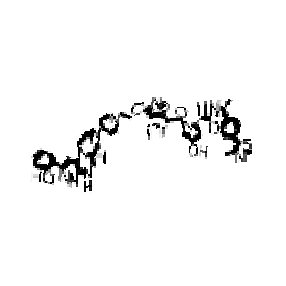 Cc1ncsc1-c1ccc([C@H](C)NC(=O)C[C@@H]2C[C@@H](O)CN2C(=O)[C@@H](c2cc(OCCN3CCC(N4CCN5c6cc(-c7ccccc7O)nnc6NC[C@H]5C4)CC3)no2)C(C)C)cc1